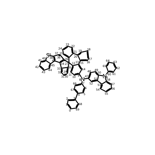 c1ccc(-c2ccc(N(c3ccc4c(c3)-c3ccccc3-c3ccccc3C43c4ccccc4-c4c3ccc3sc5ccccc5c43)c3ccc4c(c3)c3ccccc3n4-c3ccccc3)cc2)cc1